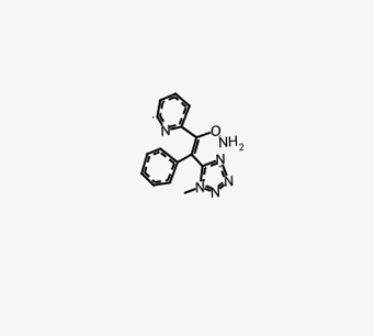 Cn1nnnc1/C(=C(\ON)c1ccc[c]n1)c1ccccc1